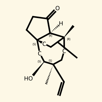 C=C[C@]1(C)CC[C@]2(C)C(C)CC[C@]3(CCC(=O)[C@H]32)C[C@@H]1O